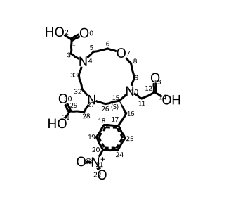 O=C(O)CN1CCOCCN(CC(=O)O)[C@@H](Cc2ccc([N+](=O)[O-])cc2)CN(CC(=O)O)CC1